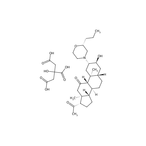 CCC[C@@H]1CN([C@H]2C[C@@]3(C)[C@@H](CC[C@H]4[C@@H]5CC[C@H](C(C)=O)[C@@]5(C)CC(=O)[C@@H]43)C[C@@H]2O)CCO1.O=C(O)CC(O)(CC(=O)O)C(=O)O